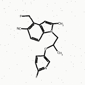 Cc1cc2c(CF)c(C#N)ccc2n1CC(C)Oc1ccc(F)nc1